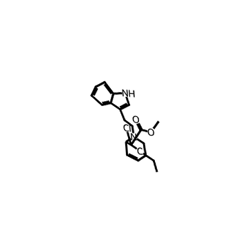 CCC12C=CC(N(CCc3c[nH]c4ccccc34)C1)C(Cl)(C(=O)OC)C2